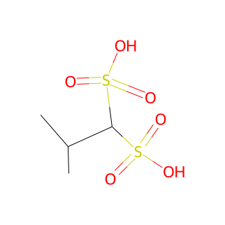 CC(C)C(S(=O)(=O)O)S(=O)(=O)O